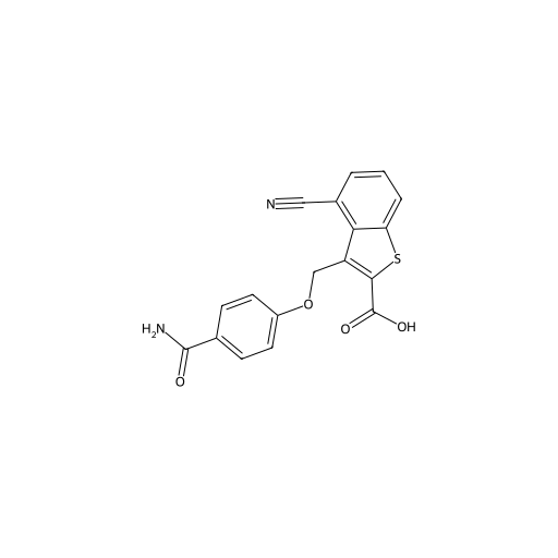 N#Cc1cccc2sc(C(=O)O)c(COc3ccc(C(N)=O)cc3)c12